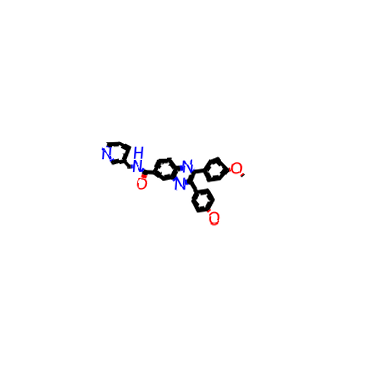 COc1ccc(-c2nc3ccc(C(=O)NCc4cccnc4)cc3nc2-c2ccc(OC)cc2)cc1